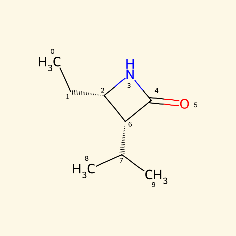 CC[C@@H]1NC(=O)[C@@H]1C(C)C